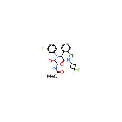 COC(=O)NCC(=O)N(c1cccc(F)c1)C(C(=O)NC1CC(F)(F)C1)c1ccccc1Cl